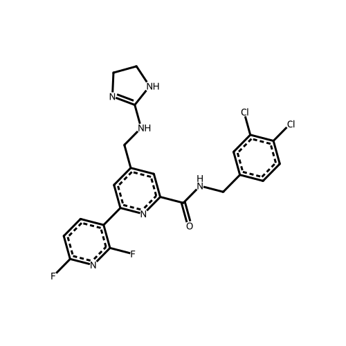 O=C(NCc1ccc(Cl)c(Cl)c1)c1cc(CNC2=NCCN2)cc(-c2ccc(F)nc2F)n1